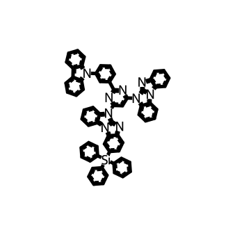 c1ccc([Si](c2ccccc2)(c2ccccc2)c2ccc3nc4n(-c5cc(-n6c7ccccc7n7c8ccccc8nc67)nc(-c6cccc(-n7c8ccccc8c8ccccc87)c6)n5)c5ccccc5n4c3c2)cc1